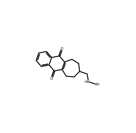 CC(C)NCC1CCC2=C(CC1)C(=O)c1ccccc1C2=O